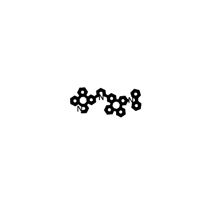 c1cc(-c2ccc3c(c2)-c2ccccc2-c2ccccc2-c2cc(-n4c5ccccc5c5ccccc54)ccc2-3)nc(-c2ccc3c(c2)-c2ccccc2-c2ccccc2-c2ncccc2-3)c1